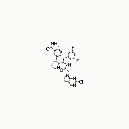 NC(=O)c1cccc(-c2cccnc2C(Cc2cc(F)cc(F)c2)NC(=O)Cn2ccc3cnc(Cl)nc32)c1